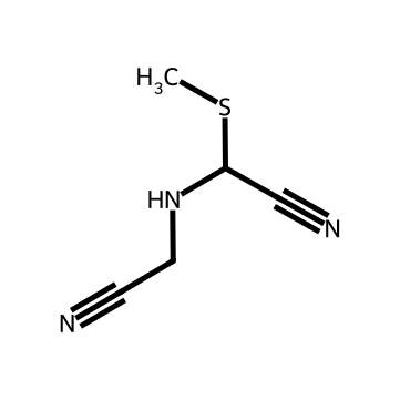 CSC(C#N)NCC#N